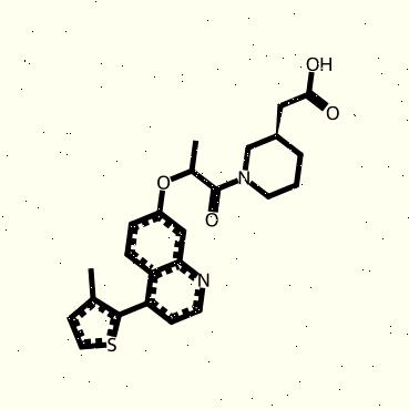 Cc1ccsc1-c1ccnc2cc(OC(C)C(=O)N3CCC[C@H](CC(=O)O)C3)ccc12